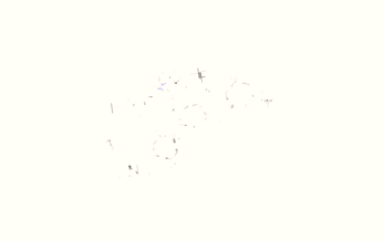 C=CCN(C)Cc1ccc(-c2ccc(C(F)c3ccc(Br)cc3)cc2)cc1.O=C(O)/C=C/C(=O)O